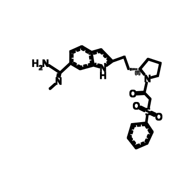 CN=C(N)c1ccc2cc(CC[C@@H]3CCCN3C(=O)CS(=O)(=O)c3ccccc3)[nH]c2c1